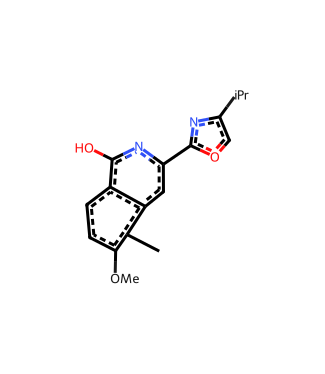 COc1ccc2c(O)nc(-c3nc(C(C)C)co3)cc2c1C